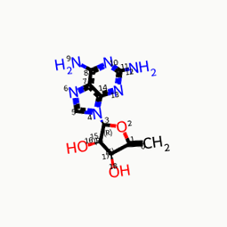 C=C1O[C@@H](n2cnc3c(N)nc(N)nc32)[C@H](O)[C@@H]1O